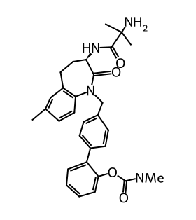 CNC(=O)Oc1ccccc1-c1ccc(CN2C(=O)[C@H](NC(=O)C(C)(C)N)CCc3cc(C)ccc32)cc1